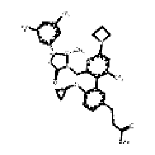 COC(=O)CCc1ccc(OC2CC2)c(-c2c(C)cc(N3CCC3)nc2CN2C(=O)O[C@H](c3cc(C(F)(F)F)cc(C(F)(F)F)c3)[C@@H]2C)c1